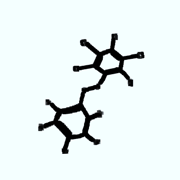 Clc1c(Cl)c(Cl)c(SSc2c(Br)c(Br)c(Br)c(Br)c2Br)c(Cl)c1Cl